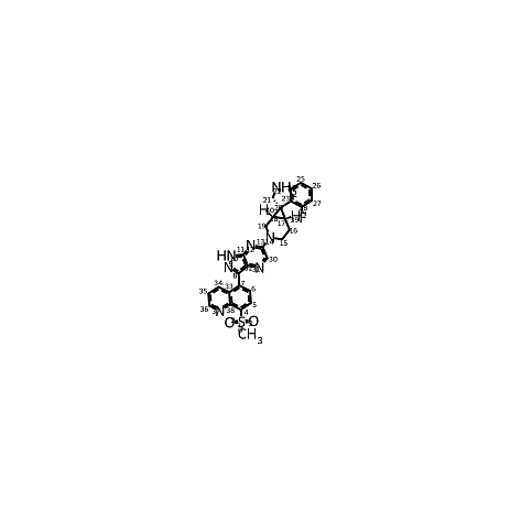 CS(=O)(=O)c1ccc(-c2n[nH]c3nc(N4CC[C@@H]5[C@H](C4)[C@@]5(CN)c4ccccc4F)cnc23)c2cccnc12